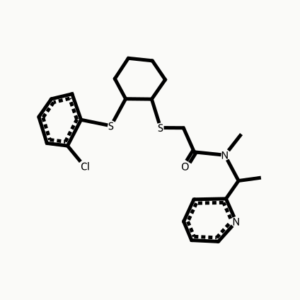 CC(c1ccccn1)N(C)C(=O)CSC1CCCCC1Sc1ccccc1Cl